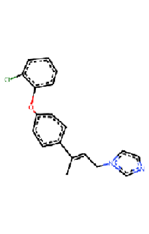 CC(=CCn1ccnc1)c1ccc(Oc2ccccc2Cl)cc1